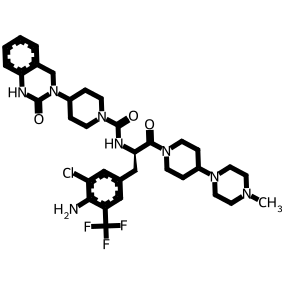 CN1CCN(C2CCN(C(=O)[C@@H](Cc3cc(Cl)c(N)c(C(F)(F)F)c3)NC(=O)N3CCC(N4Cc5ccccc5NC4=O)CC3)CC2)CC1